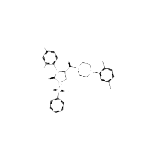 Cc1ccc(C)c(N2CCN(C(=O)C3CN(S(=O)(=O)c4ccccc4)C(=O)N3c3ccc(F)cc3F)CC2)c1